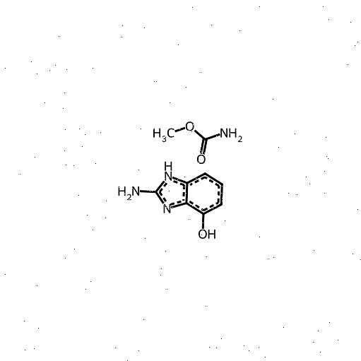 COC(N)=O.Nc1nc2c(O)cccc2[nH]1